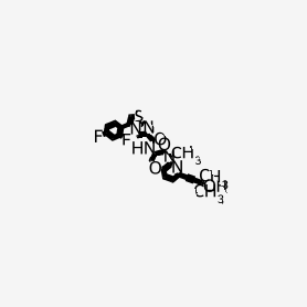 CN1C(=O)C(NC(=O)c2cn3c(-c4ccc(F)cc4F)csc3n2)COc2ccc(C#CC(C)(C)O)nc21